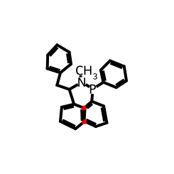 CN(C(Cc1ccccc1)c1ccccc1)P(c1ccccc1)c1ccccc1